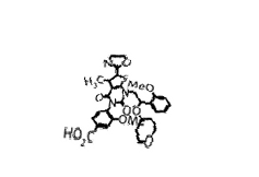 COc1ccccc1C(Cn1c2c(c(=O)n(-c3ccc(C(=O)O)cc3OC)c1=O)C(C)C(c1ncco1)S2)OC1CCOCC1